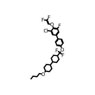 CCCCOC1CCC(C2CCC(C(F)(F)Oc3ccc(-c4cc(F)c(OC=C(F)F)c(Cl)c4)cc3)CC2)CC1